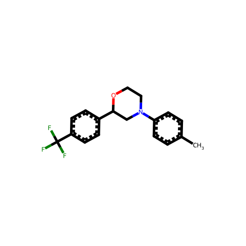 Cc1ccc(N2CCOC(c3ccc(C(F)(F)F)cc3)C2)cc1